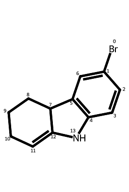 Brc1ccc2c(c1)C1CCCC=C1N2